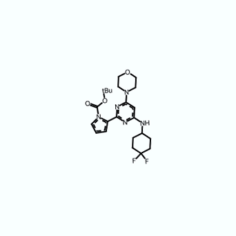 CC(C)(C)OC(=O)n1cccc1-c1nc(NC2CCC(F)(F)CC2)cc(N2CCOCC2)n1